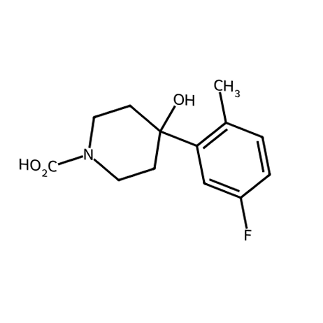 Cc1ccc(F)cc1C1(O)CCN(C(=O)O)CC1